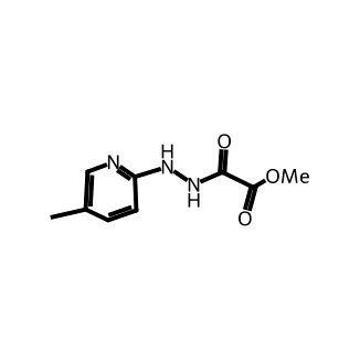 COC(=O)C(=O)NNc1ccc(C)cn1